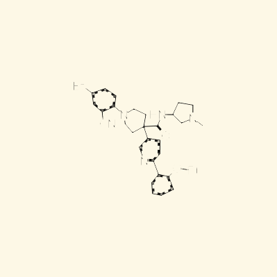 CCOc1ccccc1-c1ccc(C2(C(=O)NC3CCN(C)C3)CCN(c3ccc(CC)cc3C#N)CC2)cn1